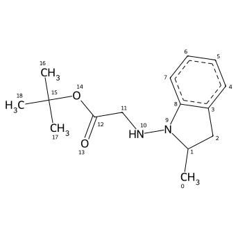 CC1Cc2ccccc2N1NCC(=O)OC(C)(C)C